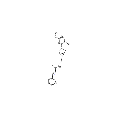 COc1ncc(F)c(N2CC3C(CCNC(=O)/C=C/c4cccnc4)C3C2)n1